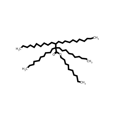 CCCCCCCCCCCC(CCCCCCCCCC)C(CCCCCCCCCC)(CCCCCCCCCC)C(=O)OCCCCCCCCCC